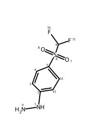 NNc1ccc(S(=O)(=O)C(F)F)cc1